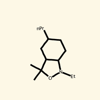 CCCC1CCC2C(C1)C(C)(C)ON2CC